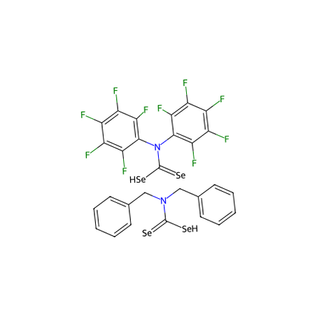 Fc1c(F)c(F)c(N(C(=[Se])[SeH])c2c(F)c(F)c(F)c(F)c2F)c(F)c1F.[Se]=C([SeH])N(Cc1ccccc1)Cc1ccccc1